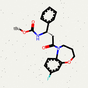 CC(C)(C)OC(=O)N[C@@H](CC(=O)N1CCCOc2cc(F)ccc21)c1ccccc1